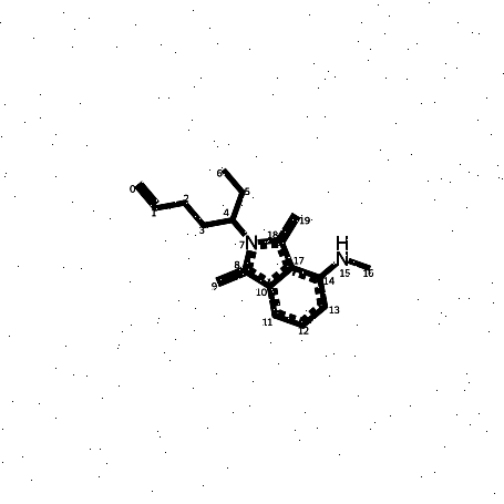 C=CCCC(CC)n1c(=C)c2cccc(NC)c2c1=C